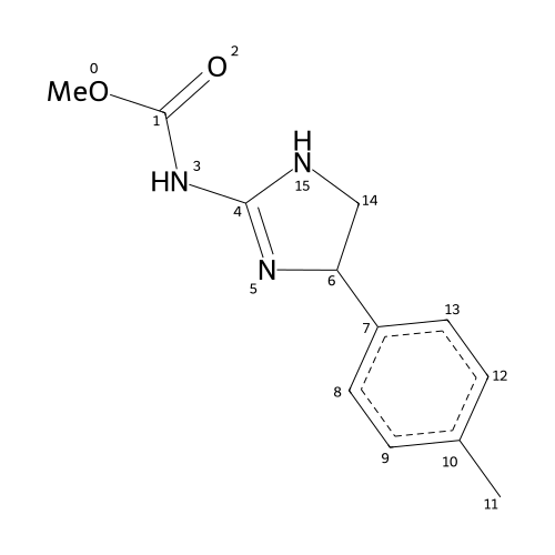 COC(=O)NC1=NC(c2ccc(C)cc2)CN1